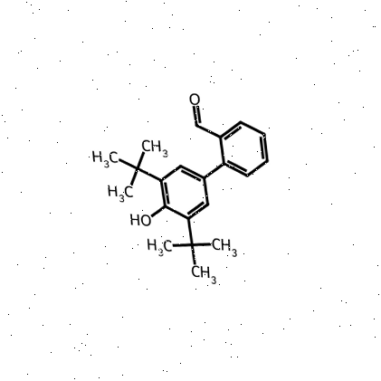 CC(C)(C)c1cc(-c2ccccc2C=O)cc(C(C)(C)C)c1O